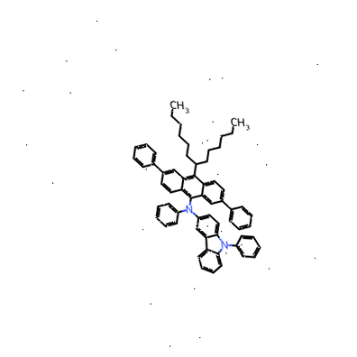 CCCCCCC(CCCCCC)c1c2cc(-c3ccccc3)ccc2c(N(c2ccccc2)c2ccc3c(c2)c2ccccc2n3-c2ccccc2)c2cc(-c3ccccc3)ccc12